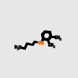 CCCCCPc1cccc(C)c1C